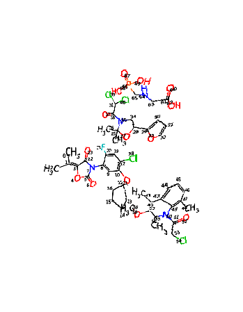 CC(C)=C1OC(=O)N(c2cc(OC3CCCC3)c(Cl)cc2F)C1=O.CC1(C)OC(c2ccco2)CN1C(=O)C(Cl)Cl.CCc1cccc(C)c1N(C(=O)CCl)C(C)COC.O=C(O)CNCP(=O)(O)O